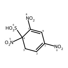 O=[N+]([O-])C1=CCC([N+](=O)[O-])(S(=O)(=O)O)C([N+](=O)[O-])=C1